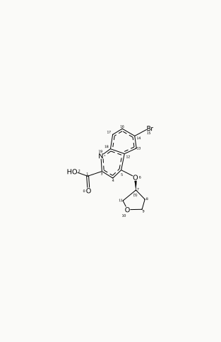 O=C(O)c1cc(O[C@H]2CCOC2)c2cc(Br)ccc2n1